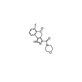 O=C(c1n[nH]c2c1C[S+]([O-])c1c(F)cccc1-2)N1CCOCC1